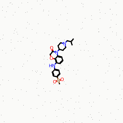 C[C](C)CN1CCC(N2C(=O)COc3c(Nc4ccc(S(C)(=O)=O)cc4)cccc32)CC1